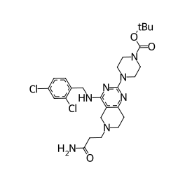 CC(C)(C)OC(=O)N1CCN(c2nc3c(c(NCc4ccc(Cl)cc4Cl)n2)CN(CCC(N)=O)CC3)CC1